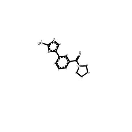 CC(C)(C)c1nc(-c2cccc(C(=O)N3CCCC3)c2)cs1